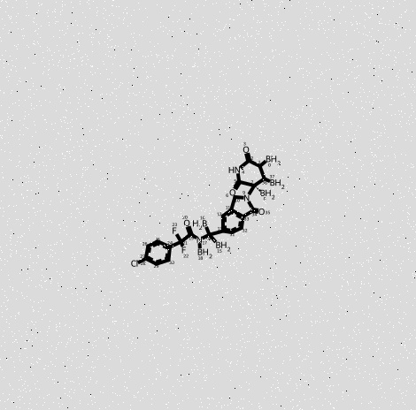 BC1C(=O)NC(=O)[C@](B)(N2Cc3cc(C(B)(B)N(B)C(=O)C(F)(F)c4ccc(Cl)cc4)ccc3C2=O)C1B